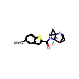 COc1ccc2sc(C(=O)N[C@@H]3C4CCN(CC4)C34CC4)cc2c1